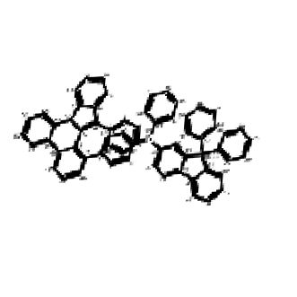 c1ccc(C2=C3c4c(-c5ccc(N(c6ccccc6)c6ccc7c(c6)C(c6ccccc6)(c6ccccc6)c6ccccc6-7)cc5)cccc4-c4ccccc4C3c3ccccc32)cc1